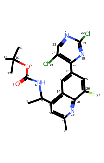 Cc1cc(C(C)NC(=O)OC(C)(C)C)c2cc(-c3nc(Cl)ncc3Cl)cc(F)c2n1